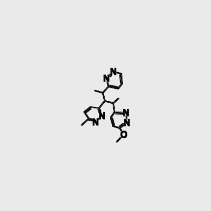 COc1ccc(C(C)C(c2ccc(C)nn2)C(C)c2cccnn2)nn1